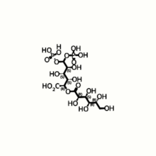 O=C(O[C@@H](C(=O)O)[C@@H](O)[C@H](O)[C@H](O)C(OP(=O)(O)O)OP(=O)(O)O)[C@H](O)[C@@H](O)[C@H](O)[C@H](O)CO